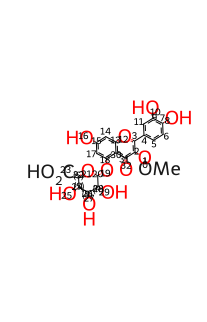 COOc1c(-c2ccc(O)c(O)c2)oc2cc(O)cc(OC3O[C@H](C(=O)O)[C@@H](O)[C@H](O)[C@H]3O)c2c1=O